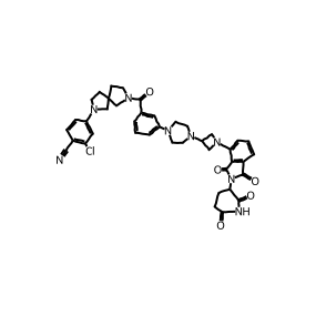 N#Cc1ccc(N2CCC3(CCN(C(=O)c4cccc(N5CCN(C6CN(c7cccc8c7C(=O)N(C7CCC(=O)NC7=O)C8=O)C6)CC5)c4)C3)C2)cc1Cl